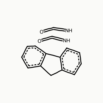 N=C=O.N=C=O.c1ccc2c(c1)Cc1ccccc1-2